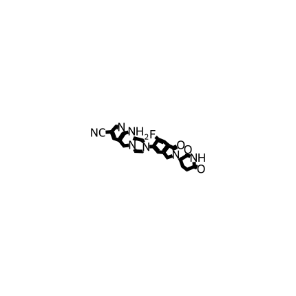 N#Cc1cnc(N)c(CN2CCN(c3cc4c(cc3F)C(=O)N(C3CCC(=O)NC3=O)C4)CC2)c1